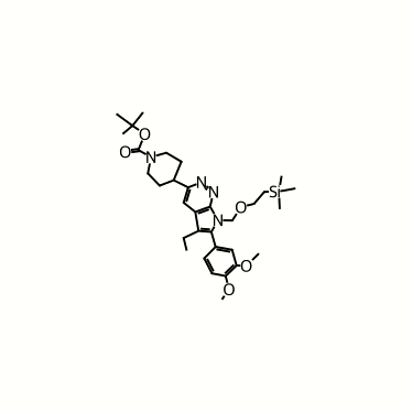 CCc1c(-c2ccc(OC)c(OC)c2)n(COCC[Si](C)(C)C)c2nnc(C3CCN(C(=O)OC(C)(C)C)CC3)cc12